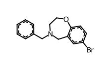 Brc1ccc2c(c1)CN(Cc1ccccc1)CCO2